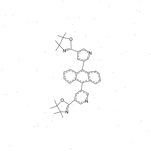 CC1(C)N=C(c2cncc(-c3c4ccccc4c(-c4cncc(C5=NC(C)(C)C(C)(C)O5)c4)c4ccccc34)c2)OC1(C)C